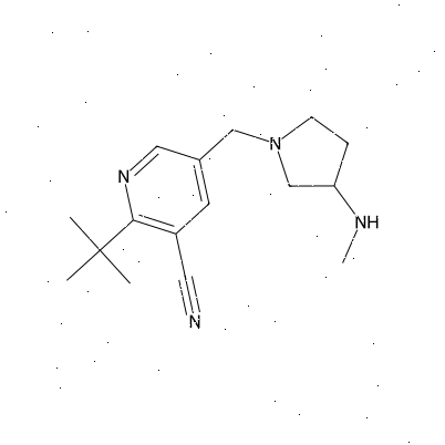 CNC1CCN(Cc2cnc(C(C)(C)C)c(C#N)c2)C1